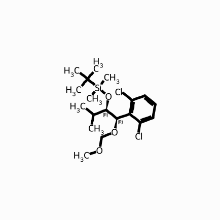 COCO[C@H](c1c(Cl)cccc1Cl)[C@H](O[Si](C)(C)C(C)(C)C)C(C)C